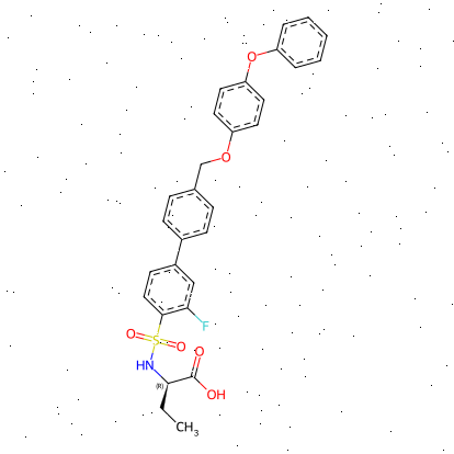 CC[C@@H](NS(=O)(=O)c1ccc(-c2ccc(COc3ccc(Oc4ccccc4)cc3)cc2)cc1F)C(=O)O